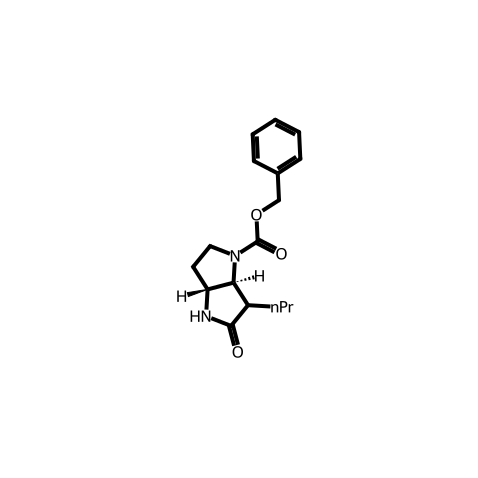 CCCC1C(=O)N[C@@H]2CCN(C(=O)OCc3ccccc3)[C@@H]12